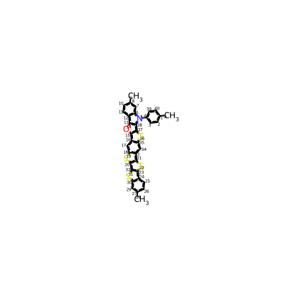 Cc1ccc(-n2c3cc(C)ccc3c3oc4c5cc6sc7c(sc8c9ccc(C)cc9sc87)c6cc5sc4c32)cc1